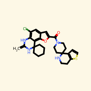 C=C1Nc2c(Cl)cc3cc(C(=O)N4CCC5(CC4)NCCc4sccc45)oc3c2C2(CCCCC2)N1